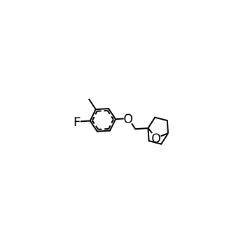 Cc1cc(OCC23CCC(CC2)O3)ccc1F